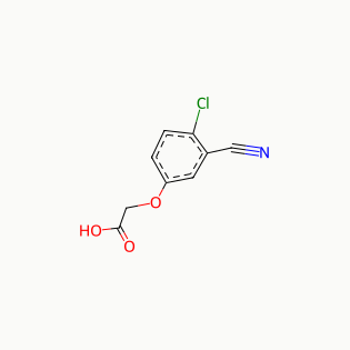 N#Cc1cc(OCC(=O)O)ccc1Cl